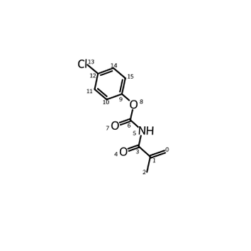 C=C(C)C(=O)NC(=O)Oc1ccc(Cl)cc1